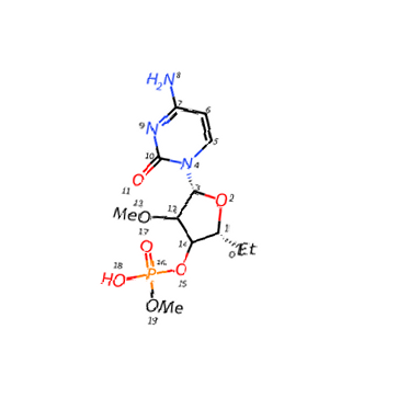 CC[C@H]1O[C@@H](n2ccc(N)nc2=O)C(OC)C1OP(=O)(O)OC